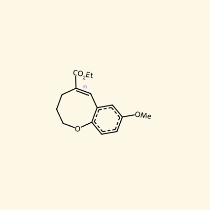 CCOC(=O)/C1=C/c2cc(OC)ccc2OCCC1